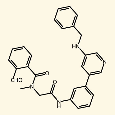 CN(CC(=O)Nc1cccc(-c2cncc(NCc3ccccc3)c2)c1)C(=O)c1ccccc1C=O